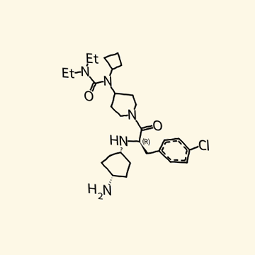 CCN(CC)C(=O)N(C1CCC1)C1CCN(C(=O)[C@@H](Cc2ccc(Cl)cc2)N[C@H]2CC[C@@H](N)CC2)CC1